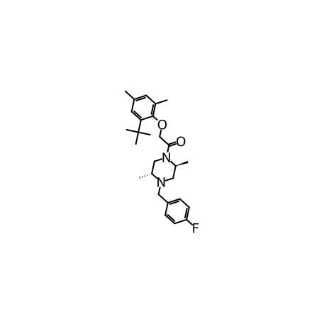 Cc1cc(C)c(OCC(=O)N2C[C@@H](C)N(Cc3ccc(F)cc3)C[C@@H]2C)c(C(C)(C)C)c1